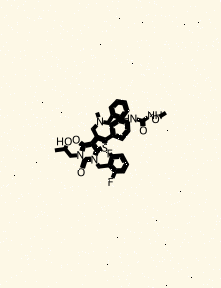 CONC(=O)Nc1ccc(-c2sc3c(c2CN(C)Cc2ccccc2)c(=O)n(CC(C)O)c(=O)n3Cc2c(F)cccc2F)cc1